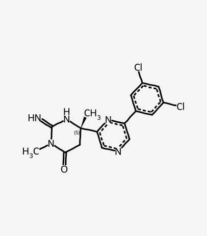 CN1C(=N)N[C@](C)(c2cncc(-c3cc(Cl)cc(Cl)c3)n2)CC1=O